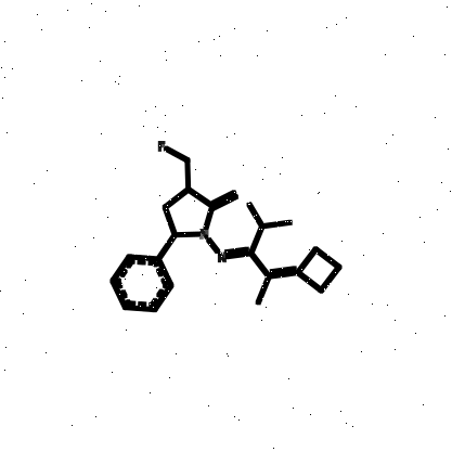 C=C1C(CF)CC(c2ccccc2)N1/N=C(/C(C)=C1CCC1)C(C)C